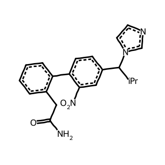 CC(C)C(c1ccc(-c2ccccc2CC(N)=O)c([N+](=O)[O-])c1)n1ccnc1